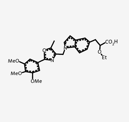 CCOC(Cc1ccc2c(ccn2Cc2nc(-c3cc(OC)c(OC)c(OC)c3)oc2C)c1)C(=O)O